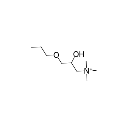 CCCOCC(O)C[N+](C)(C)C